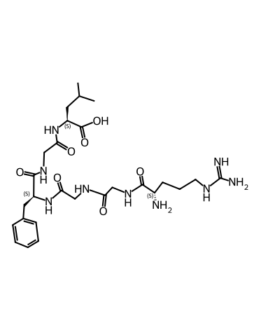 CC(C)C[C@H](NC(=O)CNC(=O)[C@H](Cc1ccccc1)NC(=O)CNC(=O)CNC(=O)[C@@H](N)CCCNC(=N)N)C(=O)O